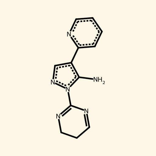 Nc1c(-c2ccccn2)cnn1C1=NCCC=N1